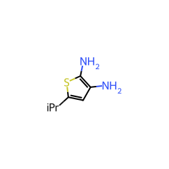 CC(C)c1cc(N)c(N)s1